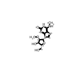 CNc1[nH]c(=O)nc2c1ncn2[C@@H]1O[C@H](CO)[C@@H](O)[C@H]1OC